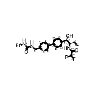 CCNC(=O)NCc1ccc(-c2ccc([C@@H](O)[C@@H](CF)NC(=O)C(F)F)cc2)cn1